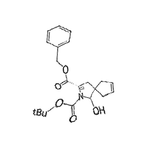 CC(C)(C)OC(=O)N1C(O)C2(CC=CC2)C[C@H]1C(=O)OCc1ccccc1